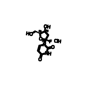 Cl.O=c1ccn([C@@]2(F)C[C@H](O)[C@@H](CO)O2)c(=O)[nH]1